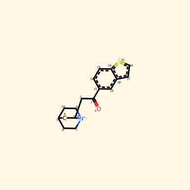 O=C(CC1CC2CC[N+]1CC2)c1ccc2sccc2c1